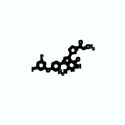 C=CC(=O)N1CCC(c2cn(-c3ccc(Oc4cc(F)cc(F)c4)cc3)c3c(N)n[nH]c(=O)c23)C1